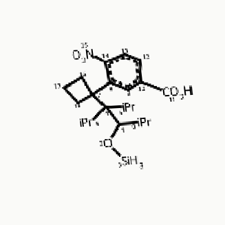 CC(C)C(O[SiH3])C(C(C)C)(C(C)C)C1(c2cc(C(=O)O)ccc2[N+](=O)[O-])CCC1